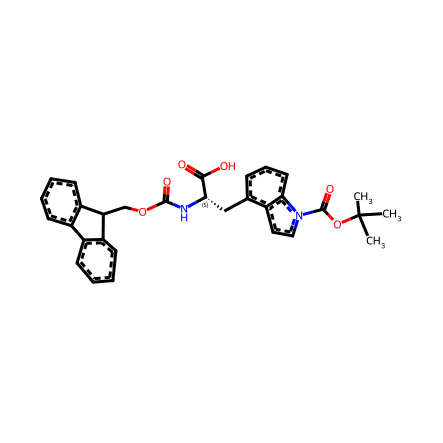 CC(C)(C)OC(=O)n1ccc2c(C[C@H](NC(=O)OCC3c4ccccc4-c4ccccc43)C(=O)O)cccc21